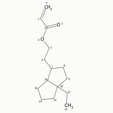 C=CC(=O)OCCC1CCC2(CC)CCCC12